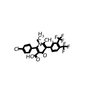 CCn1c(C)c(-c2ccc(C(F)(F)F)c(C(F)(F)F)c2)c(=O)c(C(=O)O)c1-c1ccc(Cl)cc1